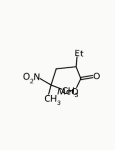 CCC(CC(C)(C)[N+](=O)[O-])C(=O)OC